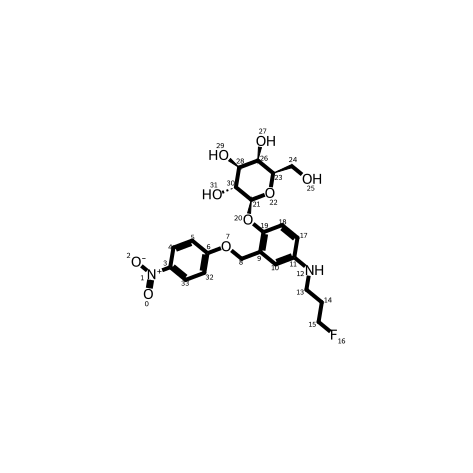 O=[N+]([O-])c1ccc(OCc2cc(NCCCF)ccc2O[C@@H]2O[C@H](CO)[C@H](O)[C@H](O)[C@H]2O)cc1